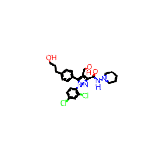 O=C(NN1CCCCC1)c1nn(-c2ccc(Cl)cc2Cl)c(-c2ccc(CCCO)cc2)c1CO